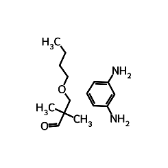 CCCCOCC(C)(C)C=O.Nc1cccc(N)c1